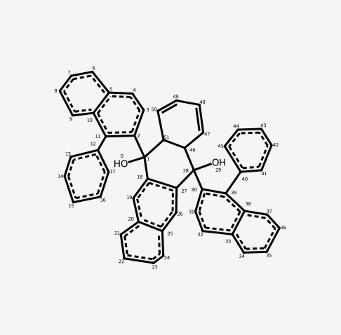 OC1(c2ccc3ccccc3c2-c2ccccc2)c2cc3ccccc3cc2C(O)(c2ccc3ccccc3c2-c2ccccc2)C2C=CC=CC21